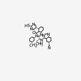 C.CCC(Nc1ncnc2ccc(C#N)cc12)c1nc2cccc(-c3cnc(S)nc3)c2c(=O)n1-c1ccccc1